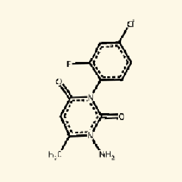 Cc1cc(=O)n(-c2ccc(Cl)cc2F)c(=O)n1N